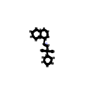 O=S(=O)(/N=C/c1cccc2cnccc12)c1ccccc1